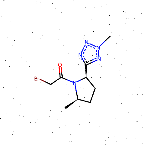 C[C@@H]1CC[C@H](c2nnn(C)n2)N1C(=O)CBr